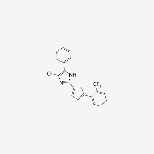 FC(F)(F)c1ccccc1C1=CC=C(c2nc(Cl)c(-c3ccccc3)[nH]2)C1